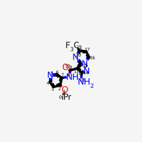 CC(C)Oc1ccncc1NC(=O)c1c(N)nn2ccc(C(F)(F)F)nc12